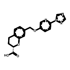 O=C(O)[C@@H]1CCc2ccc(COc3ccc(-n4cncn4)nc3)cc2O1